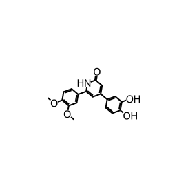 COc1ccc(-c2cc(-c3ccc(O)c(O)c3)cc(=O)[nH]2)cc1OC